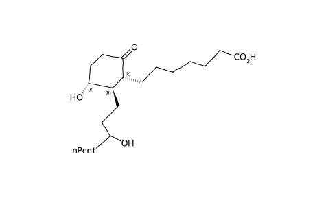 CCCCCC(O)CC[C@H]1[C@H](O)CCC(=O)[C@@H]1CCCCCCC(=O)O